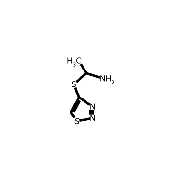 C[C](N)Sc1csnn1